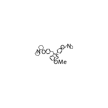 COc1cccc2c(Cc3ccc(OC4CCCCC4N4CCCCC4)cc3)c(-c3ccc(OCCN4CCCC4)cc3)sc12